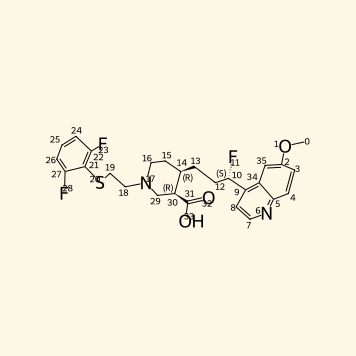 COc1ccc2nccc([C@@H](F)CC[C@@H]3CCN(CCSc4c(F)cccc4F)C[C@@H]3C(=O)O)c2c1